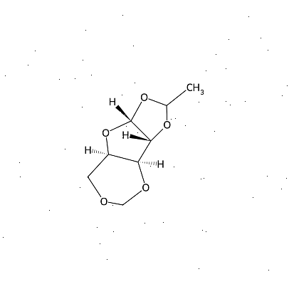 CC1O[C@H]2O[C@@H]3COCO[C@@H]3[C@H]2O1